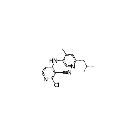 Cc1cc(CC(C)C)ncc1Nc1ccnc(Cl)c1C#N